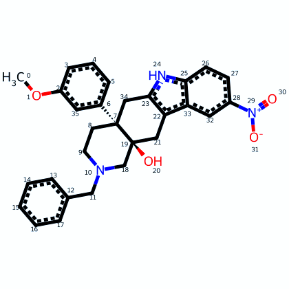 COc1cccc([C@@]23CCN(Cc4ccccc4)C[C@@]2(O)Cc2c([nH]c4ccc([N+](=O)[O-])cc24)C3)c1